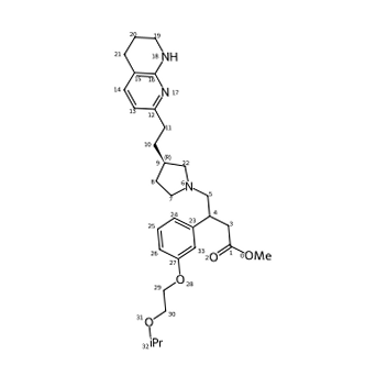 COC(=O)CC(CN1CC[C@@H](CCc2ccc3c(n2)NCCC3)C1)c1cccc(OCCOC(C)C)c1